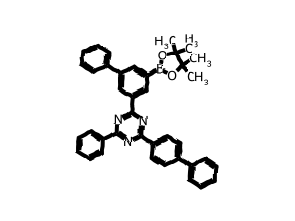 CC1(C)OB(c2cc(-c3ccccc3)cc(-c3nc(-c4ccccc4)nc(-c4ccc(-c5ccccc5)cc4)n3)c2)OC1(C)C